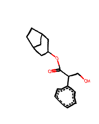 O=C(OC1CC2CCC(C2)C1)C(CO)c1ccccc1